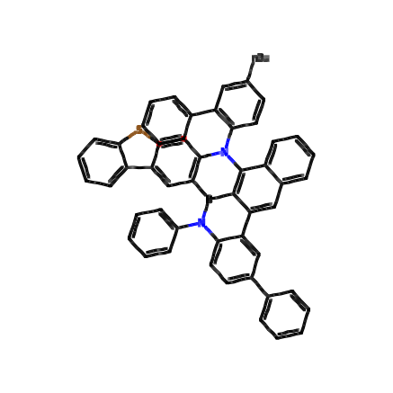 CCCCc1ccc(N2c3cc4sc5ccccc5c4cc3B3c4c(cc5ccccc5c42)-c2cc(-c4ccccc4)ccc2N3c2ccccc2)c(-c2ccccc2)c1